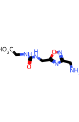 NCc1noc(CNC(=O)NCC(=O)O)n1